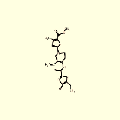 CCc1[nH]c(C(=O)NC2CCN(c3cc(C)c(C(=O)OC)s3)CC2OC)nc1Cl